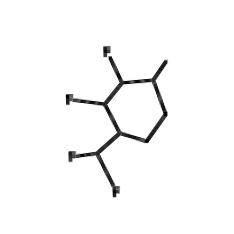 CC1CCC(C(F)F)C(F)C1F